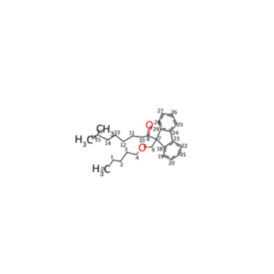 CCCCCOCC1(C(=O)CCCCCC(C)C)c2ccccc2-c2ccccc21